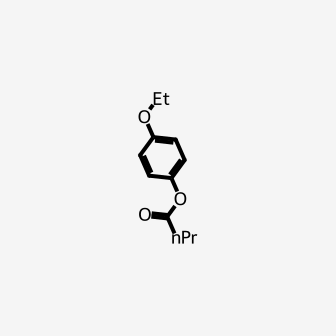 CCCC(=O)Oc1ccc(OCC)cc1